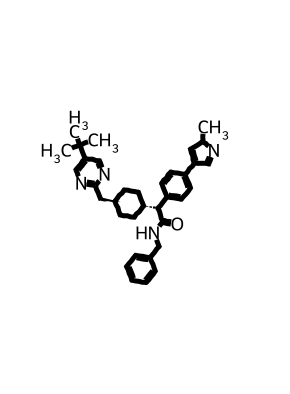 CC1C=C(c2ccc(C(C(=O)NCc3ccccc3)[C@H]3CC[C@H](Cc4ncc(C(C)(C)C)cn4)CC3)cc2)C=N1